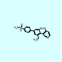 COc1ccncc1-c1ccc(-c2ccc(S(N)(=O)=O)cc2)cc1CN